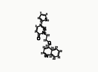 O=c1ccc(-c2cccs2)nn1CCOc1ccnc2ccccc12